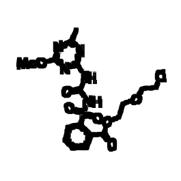 COc1nc(C)nc(NC(=O)NS(=O)(=O)c2ccccc2C(=O)OCCOCCCl)n1